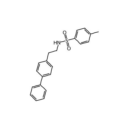 Cc1ccc(S(=O)(=O)NCCc2ccc(-c3ccccc3)cc2)cc1